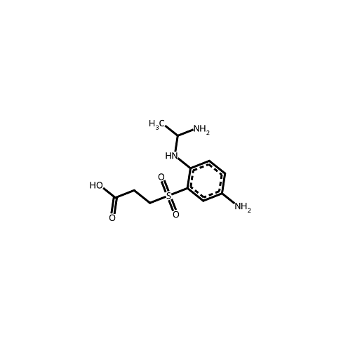 CC(N)Nc1ccc(N)cc1S(=O)(=O)CCC(=O)O